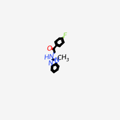 Cn1c(NCC(=O)c2ccc(F)cc2)nc2ccccc21